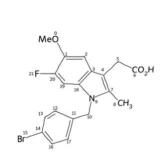 COc1cc2c(CC(=O)O)c(C)n(Cc3ccc(Br)cc3)c2cc1F